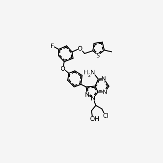 Cc1ccc(COc2cc(F)cc(Oc3ccc(-c4nn(C(CO)CCl)c5ncnc(N)c45)cc3)c2)s1